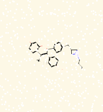 [2H]CCCN1CC(Cc2ccc(C3Oc4cc(O)ccc4C(C([2H])([2H])[2H])=C3c3ccc(O)cc3)cc2)C1